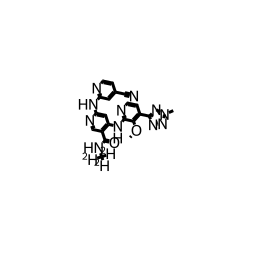 [2H]C([2H])([2H])NC(=O)c1cnc(Nc2cc(C#N)ccn2)cc1Nc1nccc(-c2nnn(C)n2)c1OC